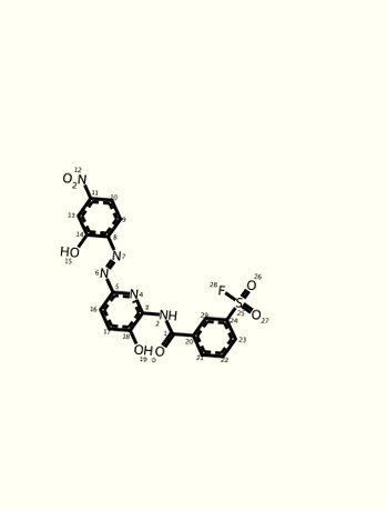 O=C(Nc1nc(N=Nc2ccc([N+](=O)[O-])cc2O)ccc1O)c1cccc(S(=O)(=O)F)c1